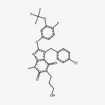 Cn1c(=O)n(CCCO)c(=O)c2c1nc(Oc1ccc(F)c(OC(F)(F)F)c1)n2Cc1ccc(Cl)cc1